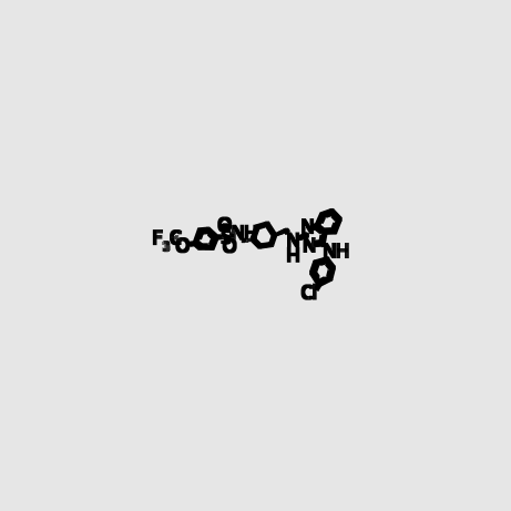 O=S(=O)(NC[C@H]1CC[C@H](CNc2nc(Nc3ccc(Cl)cc3)c3ccccc3n2)CC1)c1ccc(OC(F)(F)F)cc1